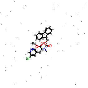 CN(C(=O)OCC1c2ccccc2-c2ccccc21)C(Cc1cncc(Br)c1)C(=O)OC(C)(C)C